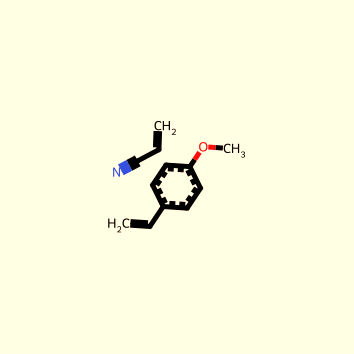 C=CC#N.C=Cc1ccc(OC)cc1